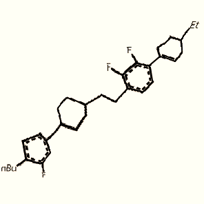 CCCCc1ccc(C2CCC(CCc3ccc(C4=CCC(CC)CC4)c(F)c3F)CC2)cc1F